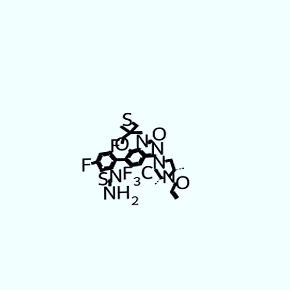 C=CC(=O)N1[C@H](C)CN(c2nc(=O)n3c4c(c(-c5c(F)cc(F)c6sc(N)nc56)c(C(F)(F)F)cc24)OCC2(CSC2)C3)C[C@@H]1C